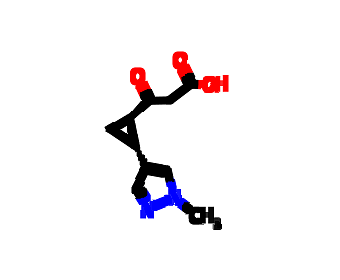 Cn1cc([C@@H]2C[C@H]2C(=O)CC(=O)O)cn1